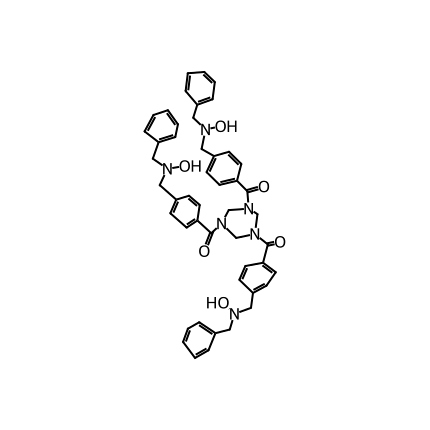 O=C(c1ccc(CN(O)Cc2ccccc2)cc1)N1CN(C(=O)c2ccc(CN(O)Cc3ccccc3)cc2)CN(C(=O)c2ccc(CN(O)Cc3ccccc3)cc2)C1